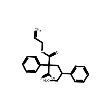 C=CCOC(=O)C(CC(CC)c1ccccc1)(C(=O)O)c1ccccc1